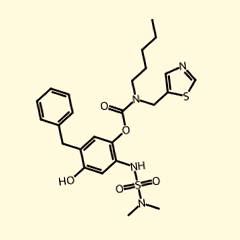 CCCCCN(Cc1cncs1)C(=O)Oc1cc(Cc2ccccc2)c(O)cc1NS(=O)(=O)N(C)C